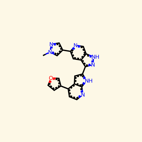 Cn1cc(-c2cc3c(-c4cc5c(-c6ccoc6)ccnc5[nH]4)n[nH]c3cn2)cn1